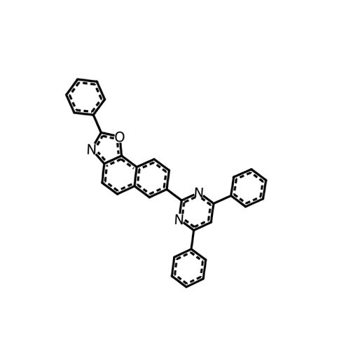 c1ccc(-c2cc(-c3ccccc3)nc(-c3ccc4c(ccc5nc(-c6ccccc6)oc54)c3)n2)cc1